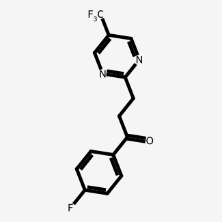 O=C(CCc1ncc(C(F)(F)F)cn1)c1ccc(F)cc1